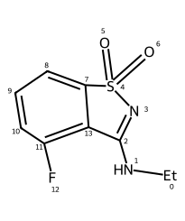 CCNC1=NS(=O)(=O)c2cccc(F)c21